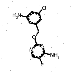 Nc1cc(Cl)cc(COc2ncc(F)c(N)n2)c1